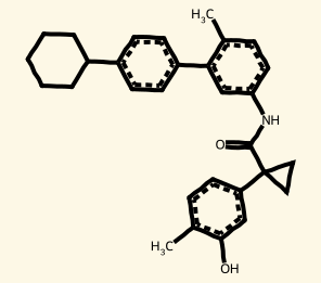 Cc1ccc(C2(C(=O)Nc3ccc(C)c(-c4ccc(C5CCCCC5)cc4)c3)CC2)cc1O